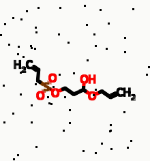 C=CCOC(O)CCOS(=O)(=O)CC=C